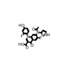 CC(=O)N(c1cc[nH]n1)c1cc2c(cc1F)c(=O)c(C(=O)O)cn2-c1ccc(O)cc1F